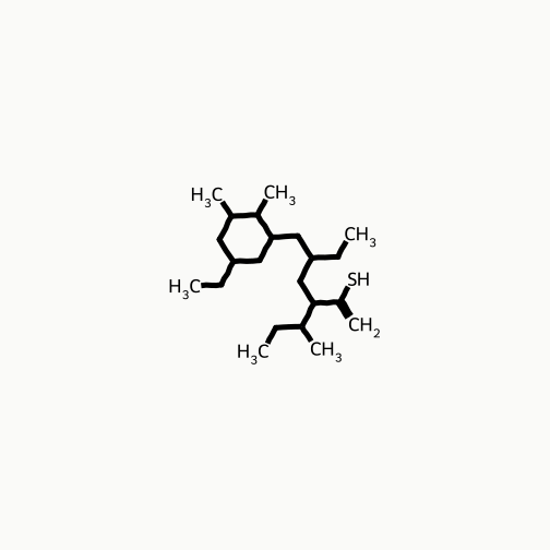 C=C(S)C(CC(CC)CC1CC(CC)CC(C)C1C)C(C)CC